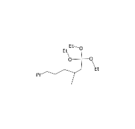 CCOC(CC(C)CCCC(C)C)(OCC)OCC